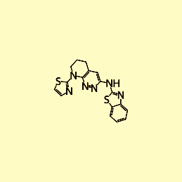 c1ccc2sc(Nc3cc4c(nn3)N(c3nccs3)CCC4)nc2c1